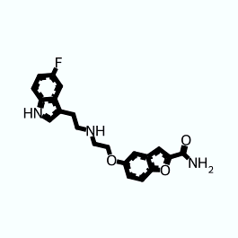 NC(=O)c1cc2cc(OCCNCCc3c[nH]c4ccc(F)cc34)ccc2o1